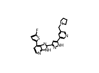 Fc1ccc(-c2ccnc3[nH]c(-c4cc(-c5cncc(CN6CCCC6)c5)[nH]n4)nc23)s1